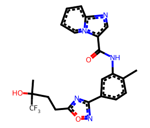 Cc1ccc(-c2noc(CCC(C)(O)C(F)(F)F)n2)cc1NC(=O)c1cnc2ccccn12